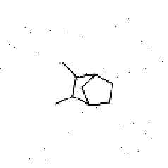 [CH2]C1C2CCC(C2)C1C